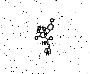 COc1ccc(Cn2cc(OP)c(=O)cc2C(=O)NCC23CCN(CC2)CC3)c(OC)c1